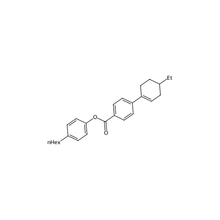 CCCCCCc1ccc(OC(=O)c2ccc(C3=CCC(CC)CC3)cc2)cc1